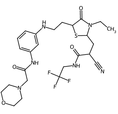 CCN1C(=O)C(CCNc2cccc(NC(=O)CN3CCOCC3)c2)SC1CC(C#N)C(=O)NCC(F)(F)F